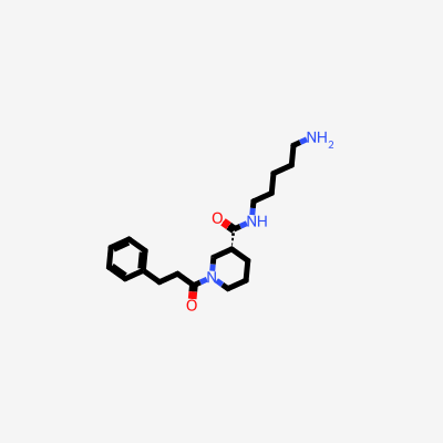 NCCCCCNC(=O)[C@@H]1CCCN(C(=O)CCc2ccccc2)C1